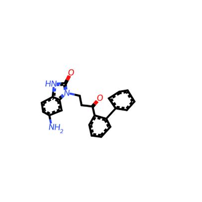 Nc1ccc2[nH]c(=O)n(CCC(=O)c3ccccc3-c3ccccc3)c2c1